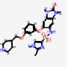 Cc1nc(S(=O)(=O)Nc2cc3c(cc2Oc2cccc(OCC4CCNCC4)c2)n(C)c(=O)n3C)cn1C